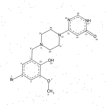 COc1cc(Br)cc(CN2CCN(c3cc(=O)[nH]cn3)CC2)c1O